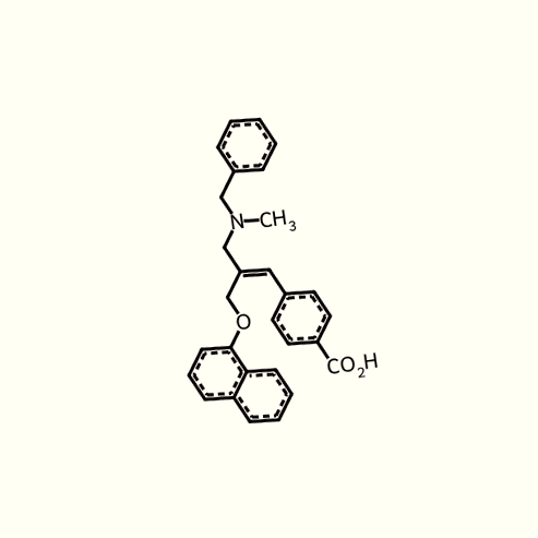 CN(CC(=Cc1ccc(C(=O)O)cc1)COc1cccc2ccccc12)Cc1ccccc1